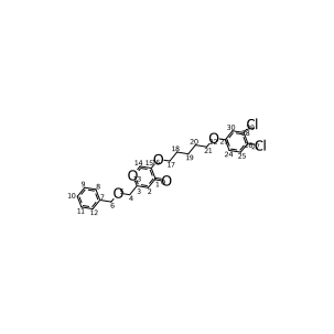 O=c1cc(COCc2ccccc2)occ1OCCCCCOc1ccc(Cl)c(Cl)c1